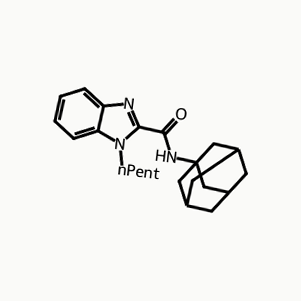 CCCCCn1c(C(=O)NC23CC4CC(CC(C4)C2)C3)nc2ccccc21